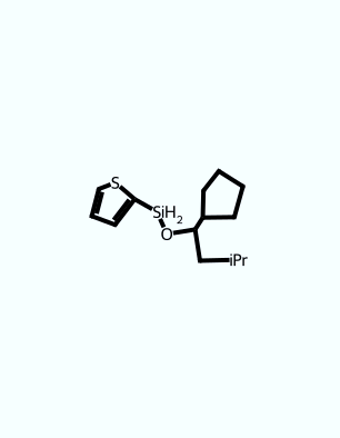 CC(C)CC(O[SiH2]c1cccs1)C1CCCC1